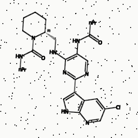 CCCNC(=O)N1CCCC[C@@H]1CNc1nc(-c2c[nH]c3ncc(Cl)cc23)ncc1NC(=O)CCC